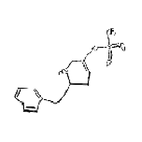 O=S(=O)(OC1=CCC(Cc2ccccc2)NC1)C(F)(F)F